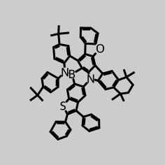 CC(C)(C)c1ccc(N2B3c4cc5sc(-c6ccccc6)c(-c6ccccc6)c5cc4-n4c5cc6c(cc5c5c7oc8ccccc8c7c(c3c54)-c3cc(C(C)(C)C)ccc32)C(C)(C)CCC6(C)C)cc1